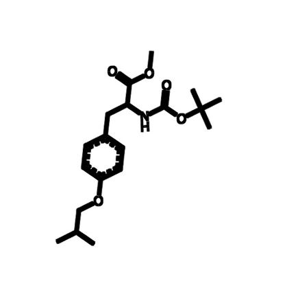 COC(=O)C(Cc1ccc(OCC(C)C)cc1)NC(=O)OC(C)(C)C